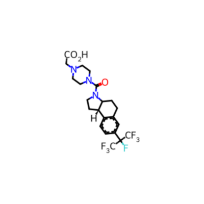 O=C(O)CN1CCN(C(=O)N2CC[C@H]3c4ccc(C(F)(C(F)(F)F)C(F)(F)F)cc4CCC32)CC1